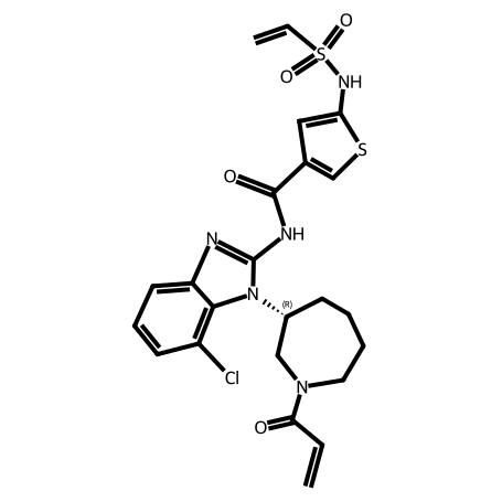 C=CC(=O)N1CCCC[C@@H](n2c(NC(=O)c3csc(NS(=O)(=O)C=C)c3)nc3cccc(Cl)c32)C1